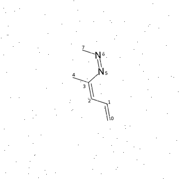 C=C/C=C(C)\N=N/C